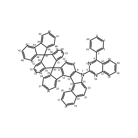 c1ccc(-c2nc(-n3c4ccc5c(c4c4c6ccccc6ccc43)-c3ccccc3C53c4ccccc4C4(c5ccccc5-c5ccccc54)c4ccccc43)nc3ccccc23)cc1